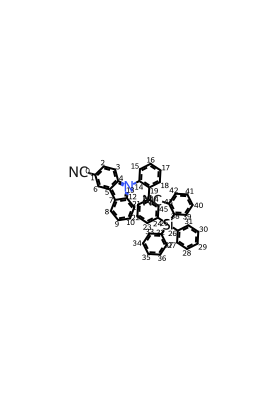 N#Cc1ccc2c(c1)c1ccccc1n2-c1ccccc1-c1cccc([Si](c2ccccc2)(c2ccccc2)c2ccccc2C#N)c1